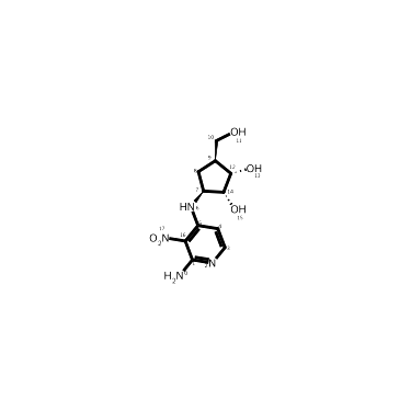 Nc1nccc(N[C@H]2C[C@@H](CO)[C@H](O)[C@@H]2O)c1[N+](=O)[O-]